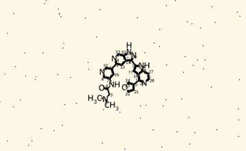 CN(C)CC(=O)Nc1cncc(-c2cc3c(-c4cc5c(-c6ccoc6)nccc5[nH]4)n[nH]c3cn2)c1